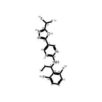 CCC(Nc1ncc(-c2nnc(C(F)F)o2)cn1)c1c(F)cccc1F